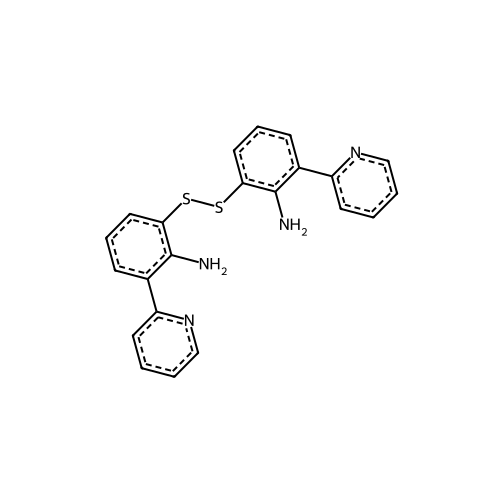 Nc1c(SSc2cccc(-c3ccccn3)c2N)cccc1-c1ccccn1